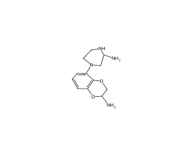 NC1CN(c2cccc3c2OCC(N)O3)CCN1